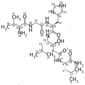 CC(C)C[C@H](NC(=O)C[C@H](O)[C@H](CC(C)C)NC(=O)[C@H](Cc1c[nH]cn1)NC(=O)CNC(=O)[C@@H](N)C(C)C)C(N)=O